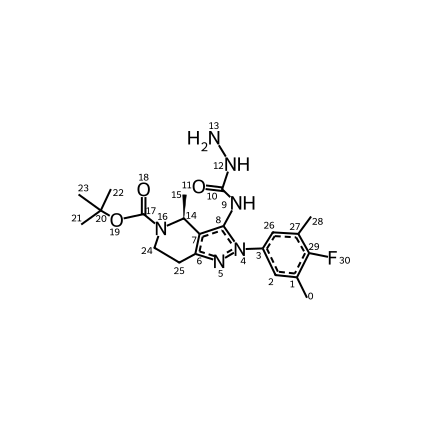 Cc1cc(-n2nc3c(c2NC(=O)NN)[C@H](C)N(C(=O)OC(C)(C)C)CC3)cc(C)c1F